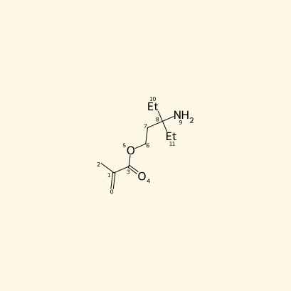 C=C(C)C(=O)OCCC(N)(CC)CC